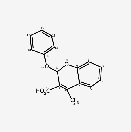 O=C(O)C1=C(C(F)(F)F)c2ccccc2OC1Oc1ccccc1